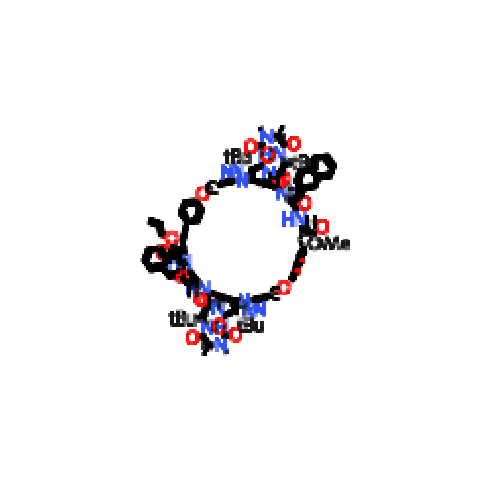 C=CCOC(=O)[C@@H]1Cc2ccc(cc2)OCc2cn(nn2)C2CCN(C(=O)[C@@H](NC(=O)[C@H](C)N(C)C(=O)OC(C)(C)C)C(C)(C)C)[C@@H]2C(=O)N[C@@H](Cc2ccc3ccccc3c2)C(=O)N[C@H](C(=O)OC)Cc2ccc(cc2)OCc2cn(nn2)[C@@H]2CCN(C(=O)[C@@H](NC(=O)[C@H](C)N(C)C(=O)OC(C)(C)C)C(C)(C)C)[C@@H]2C(=O)N[C@@H](Cc2ccc3ccccc3c2)C(=O)N1